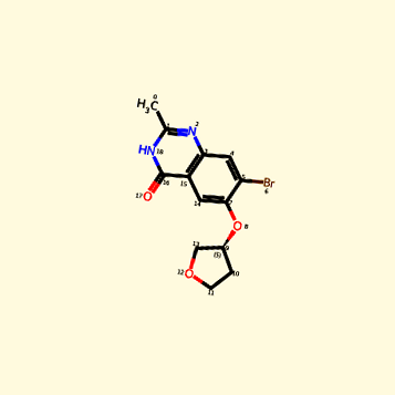 Cc1nc2cc(Br)c(O[C@H]3CCOC3)cc2c(=O)[nH]1